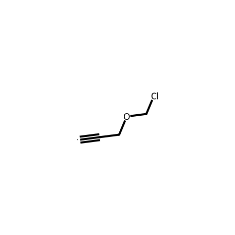 [C]#CCOCCl